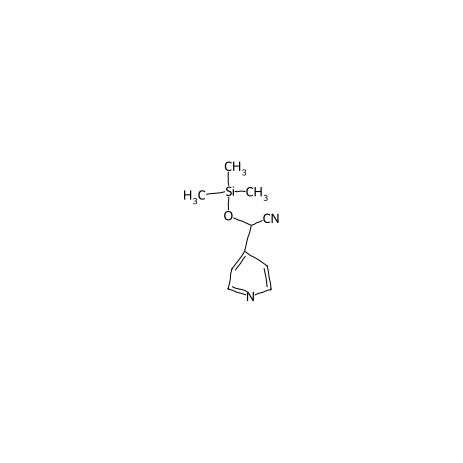 C[Si](C)(C)OC(C#N)c1ccncc1